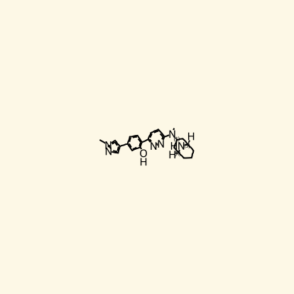 CN(c1ccc(-c2ccc(-c3cnn(C)c3)cc2O)nn1)[C@@H]1C[C@H]2CCC[C@@H](C1)N2